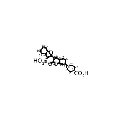 O=C(O)C1CCN(c2ccc3cc(-c4oc5ccccc5c4S(=O)(=O)O)c(=O)oc3c2)CC1